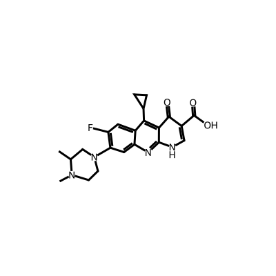 CC1CN(c2cc3nc4[nH]cc(C(=O)O)c(=O)c4c(C4CC4)c3cc2F)CCN1C